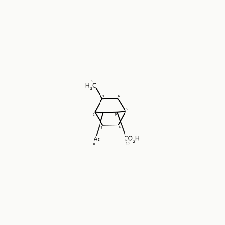 CC(=O)C1C2CCC(CC2C)C1C(=O)O